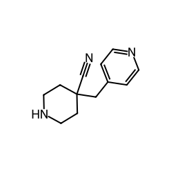 N#CC1(Cc2ccncc2)CCNCC1